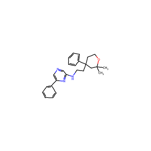 CC1(C)CC(CCNc2cncc(-c3ccccc3)n2)(c2ccccc2)CCO1